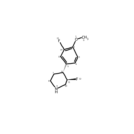 COc1ccc([C@H]2CCNC[C@@H]2F)cc1F